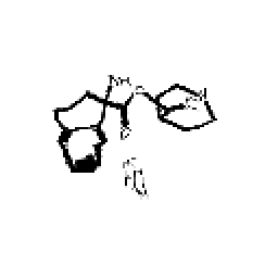 Cl.Cl.NC1(C(=O)OC2CN3CCC2CC3)CCc2ccccc21